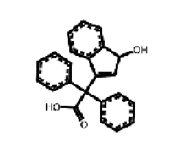 O=C(O)C(C1=CC(O)c2ccccc21)(c1ccccc1)c1ccccc1